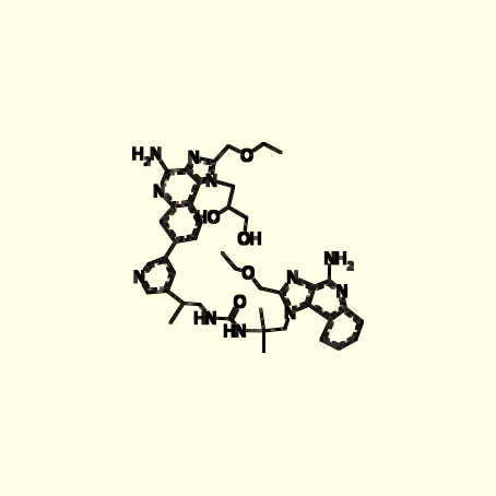 CCOCc1nc2c(N)nc3cc(-c4cncc(C(C)CNC(=O)NC(C)(C)Cn5c(COCC)nc6c(N)nc7ccccc7c65)c4)ccc3c2n1CC(O)CO